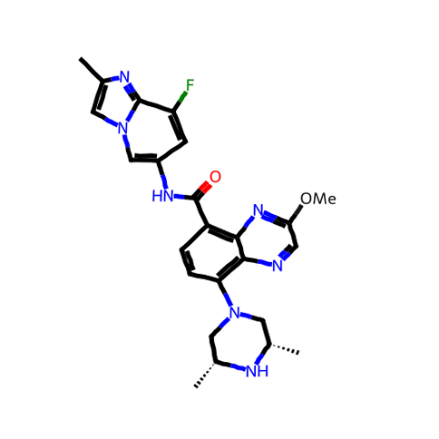 COc1cnc2c(N3C[C@@H](C)N[C@@H](C)C3)ccc(C(=O)Nc3cc(F)c4nc(C)cn4c3)c2n1